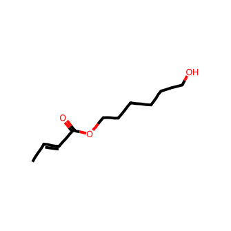 CC=CC(=O)OCCCCCCO